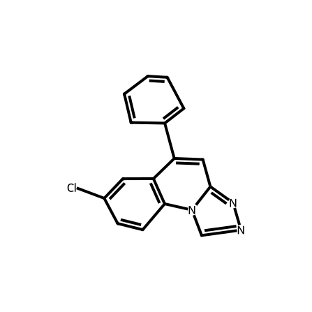 Clc1ccc2c(c1)c(-c1ccccc1)cc1nncn12